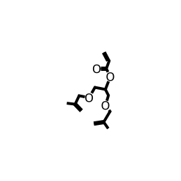 C=CC(=O)OC(COCC(=C)C)COCC(=C)C